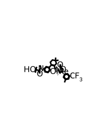 COc1ccc(N(C)C(=O)C(C)(C)O)cc1C1=C(CN2C(=O)O[C@H](c3cc(C)cc(C(F)(F)F)c3)[C@@H]2C)CC(C)(C)CC1